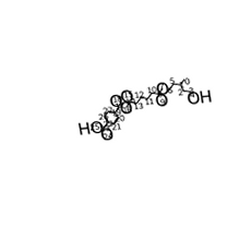 CC(CCO)CCOC(=O)CCCCC(=O)OC(=O)c1ccc(C(=O)O)cc1